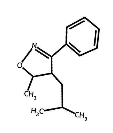 CC(C)CC1C(c2ccccc2)=NOC1C